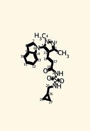 Cc1nn(C)c(-n2ccc3ccccc32)c1C=CC(=O)NS(=O)(=O)NCC1CC1